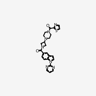 O=C(c1ccc2c(ccn2-c2ncccn2)c1)N1CC(N2CCN(C(=O)c3nccs3)CC2)C1